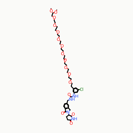 COC(COCCOCCOCCOCCOCCOCCOCCOCCOCCOCCc1cc(Cl)cc(NC(=O)NCc2ccc3c(c2)CN(C2CCC(=O)NC2=O)C3=O)c1)OC